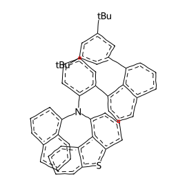 CC(C)(C)c1cc(-c2cccc3cccc(-c4ccccc4N(c4cccc5ccccc45)c4cccc5sc6ccccc6c45)c23)cc(C(C)(C)C)c1